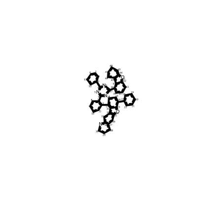 c1ccc(-c2nc(-c3ccccc3-c3ccc(-c4ccccc4)c4oc5cc6cccnc6cc5c34)nc(-c3cccc4oc5ccccc5c34)n2)cc1